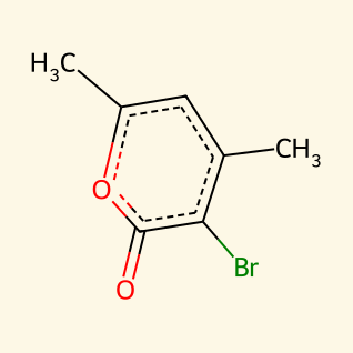 Cc1cc(C)c(Br)c(=O)o1